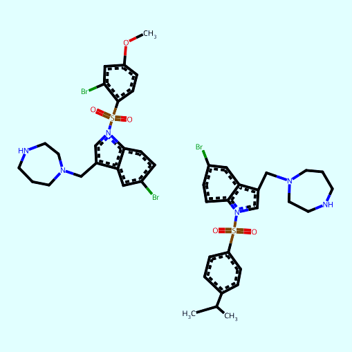 CC(C)c1ccc(S(=O)(=O)n2cc(CN3CCCNCC3)c3cc(Br)ccc32)cc1.COc1ccc(S(=O)(=O)n2cc(CN3CCCNCC3)c3cc(Br)ccc32)c(Br)c1